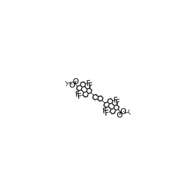 CC(C)COC(=O)c1cc(F)c2c3c(F)ccc4c(-c5ccc6cc(-c7cc(F)c8c9c(F)ccc%10c(C(=O)OCC(C)C)cc(F)c(c%11c(F)ccc7c%118)c%109)ccc6c5)cc(F)c(c5c(F)ccc1c25)c43